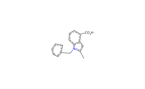 Cc1cc2c(C(=O)O)cccc2n1Cc1ccccc1